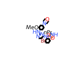 CCCNS(=O)(=O)c1ccccc1Nc1nc(Nc2ccc(N3CCOCC3)cc2OC)ncc1Br